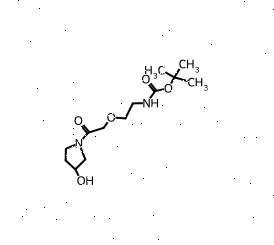 CC(C)(C)OC(=O)NCCOCC(=O)N1CCC(O)C1